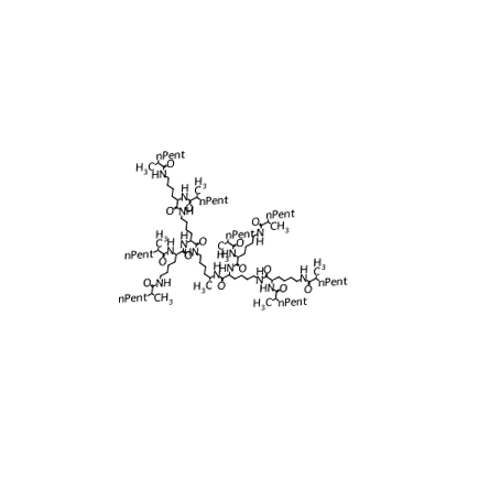 CCCCCC(C)C(=O)NCCCCC(NC(=O)C(C)CCCCC)C(=O)NCCCCC(NC(=O)C(CCCCNC(=O)C(C)CCCCC)NC(=O)C(C)CCCCC)C(=O)NCCCCC(C)NC(=O)C(CCCCNC(=O)C(CCCCNC(=O)C(C)CCCCC)NC(=O)C(C)CCCCC)NC(=O)C(CCCCNC(=O)C(C)CCCCC)NC(=O)C(C)CCCCC